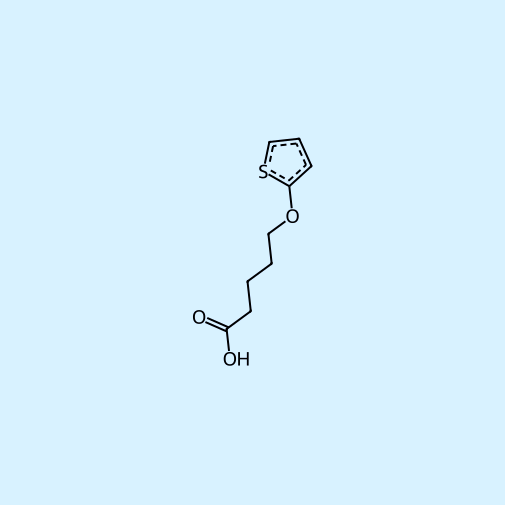 O=C(O)CCCCOc1cccs1